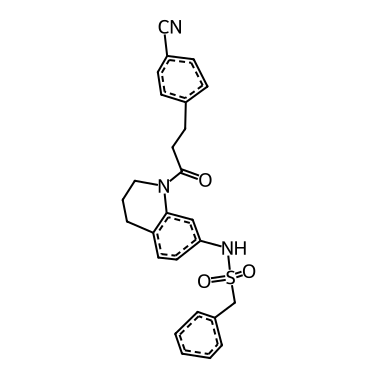 N#Cc1ccc(CCC(=O)N2CCCc3ccc(NS(=O)(=O)Cc4ccccc4)cc32)cc1